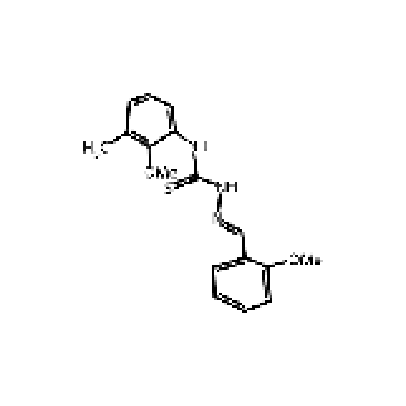 COc1ccccc1/C=N/NC(=S)Nc1cccc(C)c1OC